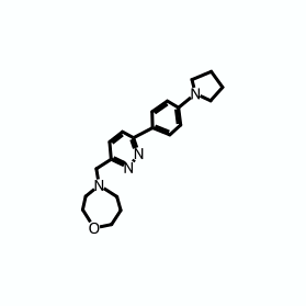 c1cc(N2CCCC2)ccc1-c1ccc(CN2CCCOCC2)nn1